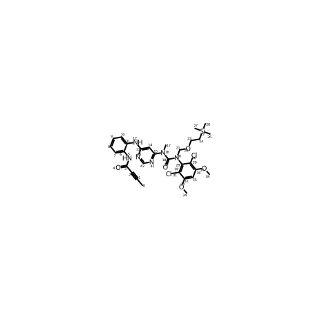 CC#CC(=O)Nc1ccccc1Nc1cc(N(C)C(=O)N(COCC[Si](C)(C)C)c2c(Cl)c(OC)cc(OC)c2Cl)ncn1